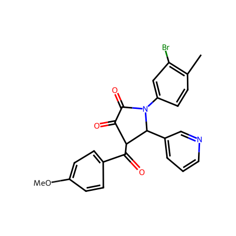 COc1ccc(C(=O)C2C(=O)C(=O)N(c3ccc(C)c(Br)c3)C2c2cccnc2)cc1